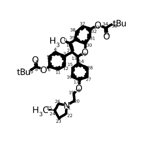 CC1=C(c2ccc(OC(=O)C(C)(C)C)cc2)C(c2ccc(OCCN3CC[C@@H](C)C3)cc2)Oc2cc(OC(=O)C(C)(C)C)ccc21